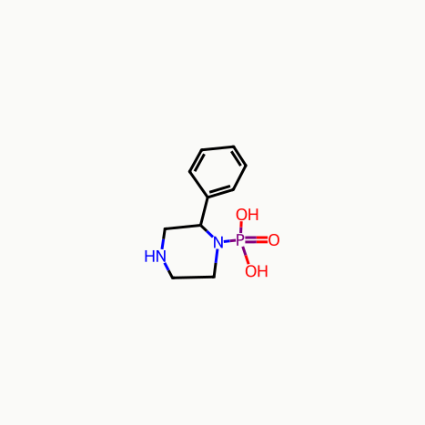 O=P(O)(O)N1CCNCC1c1ccccc1